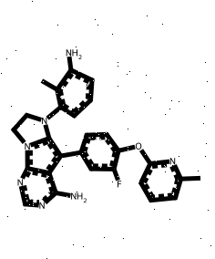 Cc1cccc(Oc2ccc(-c3c4n(c5ncnc(N)c35)CCN4c3cccc(N)c3C)cc2F)n1